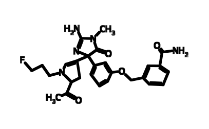 CC(=O)C1CC(C2(c3cccc(OCc4cccc(C(N)=O)c4)c3)N=C(N)N(C)C2=O)=CN1CCCF